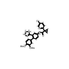 COc1ccc(-c2ccc(NC(=O)C3(c4ccc(Cl)cn4)CC3)cc2-c2nnn[nH]2)cc1OC